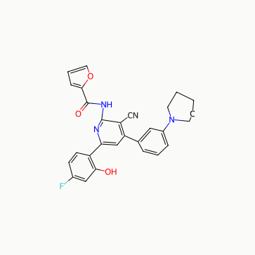 N#Cc1c(-c2cccc(N3CCCCC3)c2)cc(-c2ccc(F)cc2O)nc1NC(=O)c1ccco1